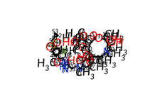 CC[C@H]1OC(=O)[C@H](C)[C@@H](C2C[C@@](C)(OC)[C@@H](O)[C@H](C)O2)[C@H](C)[C@@H](O[C@@H]2O[C@H](C)C[C@H](N(C)CCc3cn([C@H](CF)[C@H](OC)c4ccc(S(=O)(=O)CC5CC5)cc4)nn3)[C@H]2O)[C@](C)(O)C[C@@H](C)CN(C)[C@H](C)[C@@H](O)[C@]1(C)O